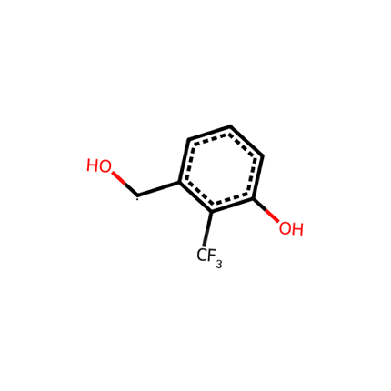 O[CH]c1cccc(O)c1C(F)(F)F